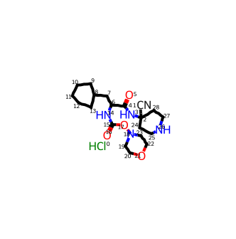 Cl.N#CC1(NC(=O)C(CC2CCCCC2)NC(=O)ON2CCOCC2)CCNCC1